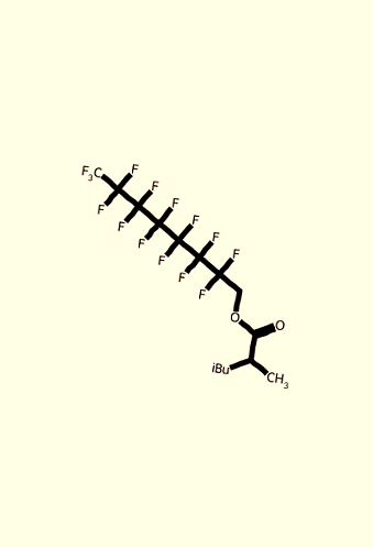 CCC(C)C(C)C(=O)OCC(F)(F)C(F)(F)C(F)(F)C(F)(F)C(F)(F)C(F)(F)C(F)(F)F